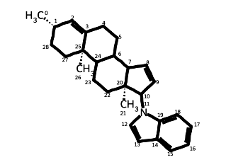 C[C@@H]1C=C2CCC3C4C=CC(n5ccc6ccccc65)[C@@]4(C)CCC3[C@@]2(C)CC1